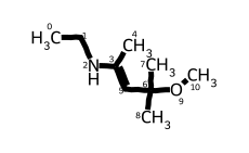 CCN/C(C)=C/C(C)(C)OC